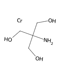 NC(CO)(CO)CO.[Cr]